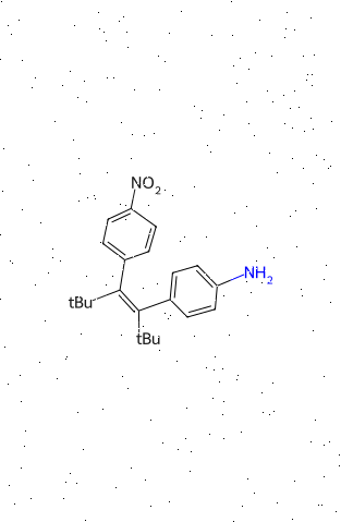 CC(C)(C)C(=C(c1ccc([N+](=O)[O-])cc1)C(C)(C)C)c1ccc(N)cc1